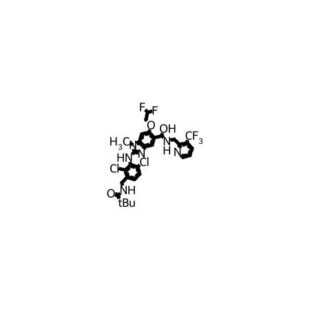 Cn1c(Nc2c(Cl)ccc(CNC(=O)C(C)(C)C)c2Cl)nc2cc(C(O)NCc3ncccc3C(F)(F)F)c(OCC(F)F)cc21